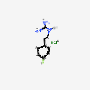 CN(CCc1ccc(F)cc1)C(=N)N.Cl